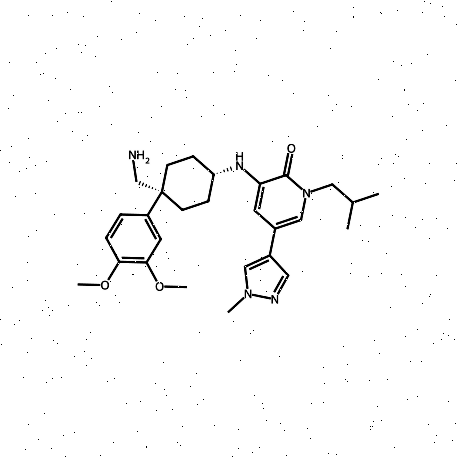 COc1ccc([C@]2(CN)CC[C@@H](Nc3cc(-c4cnn(C)c4)cn(CC(C)C)c3=O)CC2)cc1OC